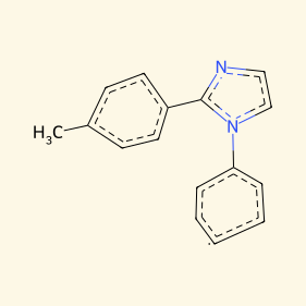 Cc1ccc(-c2nccn2-c2cc[c]cc2)cc1